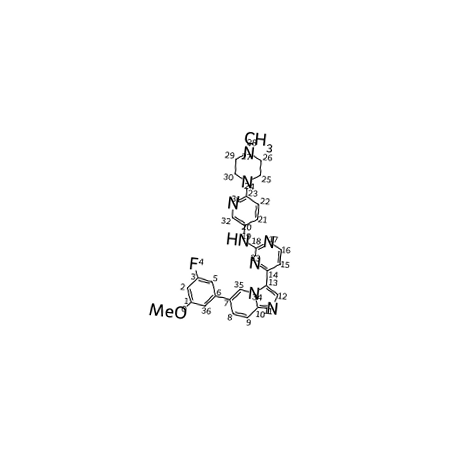 COc1cc(F)cc(-c2ccc3ncc(-c4ccnc(Nc5ccc(N6CCN(C)CC6)nc5)n4)n3c2)c1